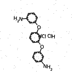 Cl.Cl.Nc1cccc(Oc2cccc(Oc3cccc(N)c3)c2)c1